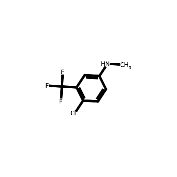 CNc1ccc(Cl)c(C(F)(F)F)c1